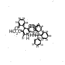 CCOC(NC(c1ccccc1)(c1ccccc1)c1ccccc1)C1=C(C(=O)O)C(c2ccccc2Cl)C(C(=O)O)=C(C)N1